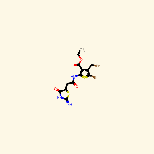 CCOC(=O)c1c(NC(=O)CC2SC(=N)NC2=O)sc(Br)c1CBr